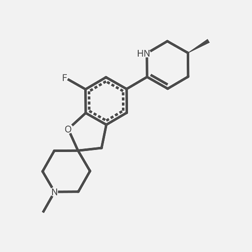 C[C@H]1CC=C(c2cc(F)c3c(c2)CC2(CCN(C)CC2)O3)NC1